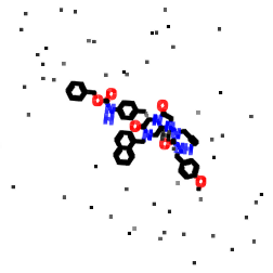 C#CCN(C(=O)NCc1ccc(OC)cc1)N1CC(=O)N2[C@@H](Cc3ccc(NC(=O)OCc4ccccc4)cc3)C(=O)N(Cc3cccc4ccccc34)C[C@@H]21